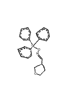 C(=N\O[Si](c1ccccc1)(c1ccccc1)c1ccccc1)/C1CCOC1